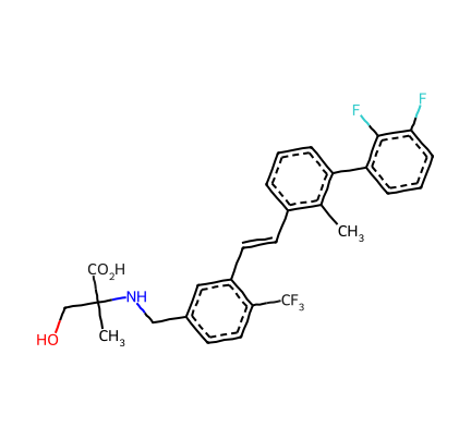 Cc1c(/C=C/c2cc(CNC(C)(CO)C(=O)O)ccc2C(F)(F)F)cccc1-c1cccc(F)c1F